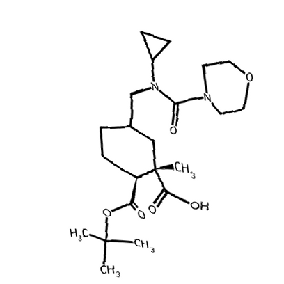 CC(C)(C)OC(=O)[C@H]1CCC(CN(C(=O)N2CCOCC2)C2CC2)C[C@]1(C)C(=O)O